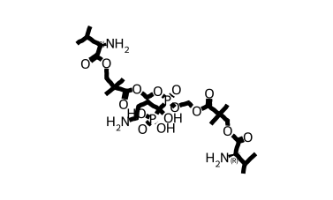 CC(C)[C@@H](N)C(=O)OCC(C)(C)C(=O)OCOP(=O)(OCOC(=O)C(C)(C)COC(=O)[C@H](N)C(C)C)C(O)(CCCN)P(=O)(O)O